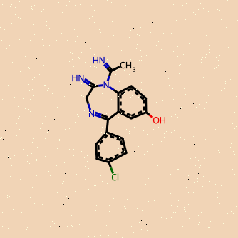 CC(=N)N1C(=N)CN=C(c2ccc(Cl)cc2)c2cc(O)ccc21